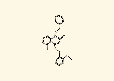 Cc1ncnc2c1c(NCc1cccnc1N(C)C)cc(=O)n2OCc1ccccc1